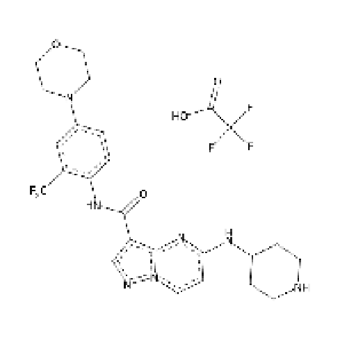 O=C(Nc1ccc(N2CCOCC2)cc1C(F)(F)F)c1cnn2ccc(NC3CCNCC3)nc12.O=C(O)C(F)(F)F